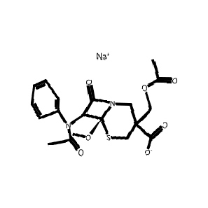 CO[C@]12SCC(COC(C)=O)(C(=O)[O-])CN1C(=O)C2N(C(C)=O)c1ccccc1.[Na+]